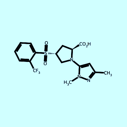 Cc1cc(N2C[C@H](S(=O)(=O)c3ccccc3C(F)(F)F)C[C@H]2C(=O)O)n(C)n1